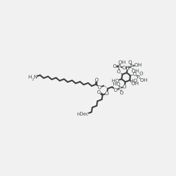 CCCCCCCCCCCCCCCC(=O)O[C@H](COC(=O)CCCCCCCCCCCCCCN)COP(=O)(O)OC1C(O)[C@H](OP(=O)(O)O)C(OP(=O)(O)O)[C@H](OP(=O)(O)O)[C@@H]1O